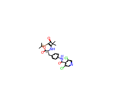 CC(C)OC(=O)[C@H](Cc1ccc(NC(=O)c2c(Cl)cncc2Cl)cc1)NC1=C(Br)C(=O)C1(C)C